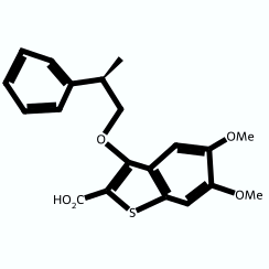 COc1cc2sc(C(=O)O)c(OC[C@H](C)c3ccccc3)c2cc1OC